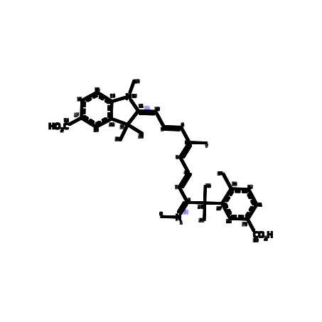 C/N=C(\C=CC=C(C)C=C/C=C1/N(C)c2ccc(C(=O)O)cc2C1(C)C)C(C)(C)c1cc(C(=O)O)ccc1C